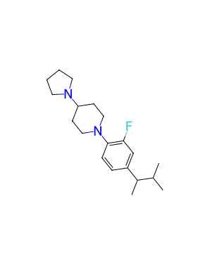 CC(C)C(C)c1ccc(N2CCC(N3CCCC3)CC2)c(F)c1